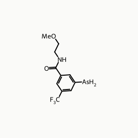 COCCNC(=O)c1cc([AsH2])cc(C(F)(F)F)c1